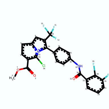 COC(=O)c1ccc2cc(C(F)(F)F)c(-c3ccc(NC(=O)c4cccc(F)c4F)cc3)n2c1Cl